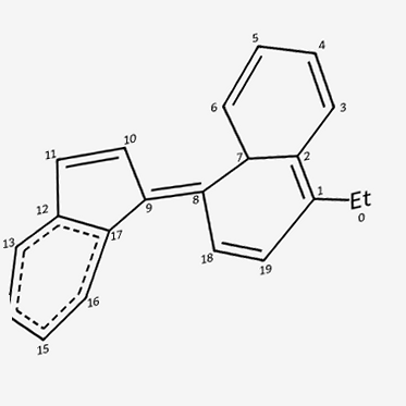 CCC1=C2C=CC=CC2C(=C2C=Cc3ccccc32)C=C1